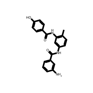 Cc1ccc(NC(=O)c2cccc(N)c2)cc1NC(=O)c1ccc(O)cc1